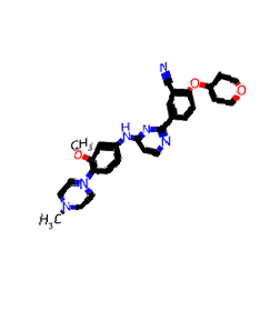 COc1cc(Nc2ccnc(-c3ccc(OC4CCOCC4)c(C#N)c3)n2)ccc1N1CCN(C)CC1